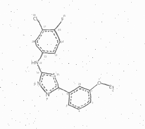 CCOc1cccc(-c2nnc(Nc3ccc(F)c(Cl)c3)s2)c1